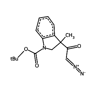 CC(C)(C)OC(=O)N1CC(C)(C(=O)C=[N+]=[N-])c2ccccc21